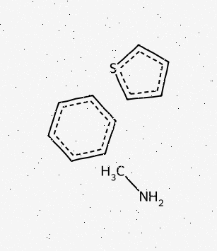 CN.c1ccccc1.c1ccsc1